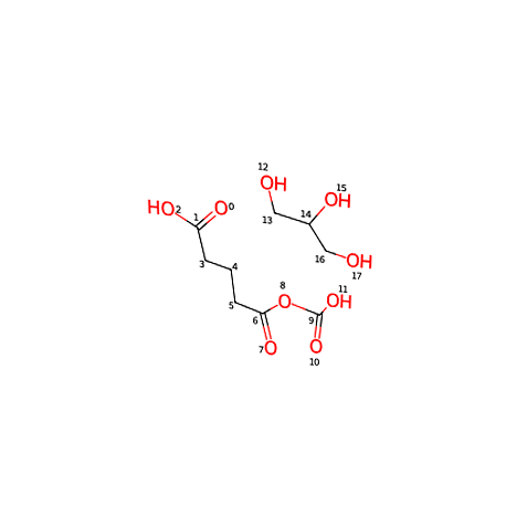 O=C(O)CCCC(=O)OC(=O)O.OCC(O)CO